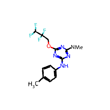 CNc1nc(Nc2ccc(C)cc2)nc(OCC(F)(F)C(F)F)n1